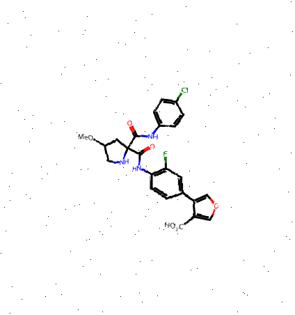 COC1CNC(C(=O)Nc2ccc(Cl)cc2)(C(=O)Nc2ccc(-c3cocc3C(=O)O)cc2F)C1